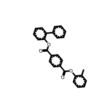 Cc1ccccc1OC(=O)c1ccc(C(=O)Oc2ccccc2-c2ccccc2)cc1